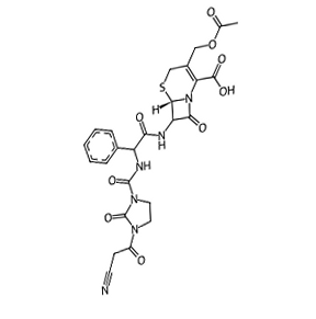 CC(=O)OCC1=C(C(=O)O)N2C(=O)C(NC(=O)C(NC(=O)N3CCN(C(=O)CC#N)C3=O)c3ccccc3)[C@@H]2SC1